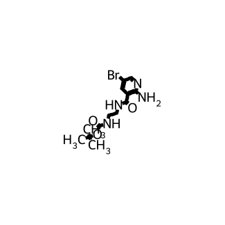 CC(C)(C)OC(=O)NCCNC(=O)c1cc(Br)cnc1N